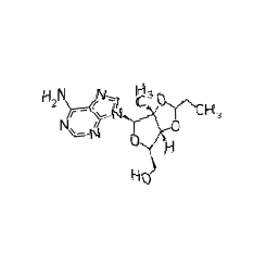 CCC1O[C@@H]2[C@@H](CO)O[C@@H](n3cnc4c(N)ncnc43)[C@]2(C)O1